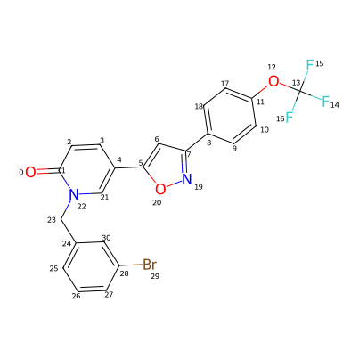 O=c1ccc(-c2cc(-c3ccc(OC(F)(F)F)cc3)no2)cn1Cc1cccc(Br)c1